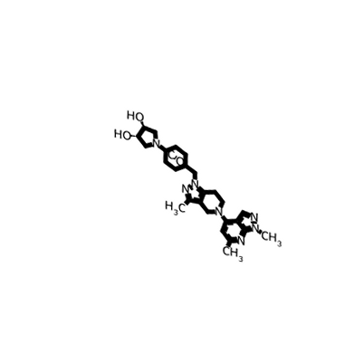 Cc1cc(N2CCc3c(c(C)nn3CC34CCC(N5C[C@H](O)[C@@H](O)C5)(CC3)CO4)C2)c2cnn(C)c2n1